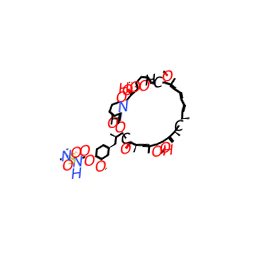 C=C1[C@H](C)C[C@H](C)/C=C/C=C/C=C(\C)[C@@H](OC)C[C@@H]2CC[C@@H](C)[C@@](O)(O2)C(=O)C(=O)N2CCCC[C@H]2C(=O)O[C@H]([C@H](C)C[C@@H]2CC[C@@H](OC(=O)NS(=O)(=O)N(C)C)[C@H](OC)C2)CC(=O)[C@H](C)/C=C(\C)[C@@H](O)[C@H]1OC